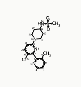 Cc1cccnc1-c1nc(N2CCC(NS(C)(=O)=O)CC2)ccc1Cl